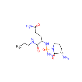 CCCNC(=O)C(CCC(N)=O)NP(N)(=O)N1CCC[C@H](N)C1=O